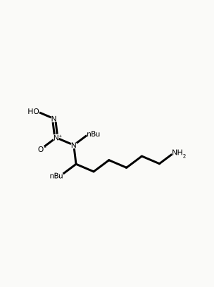 CCCCC(CCCCCN)N(CCCC)[N+]([O-])=NO